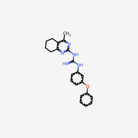 Cc1nc(NC(=N)Nc2cccc(Oc3ccccc3)c2)nc2c1CCCC2